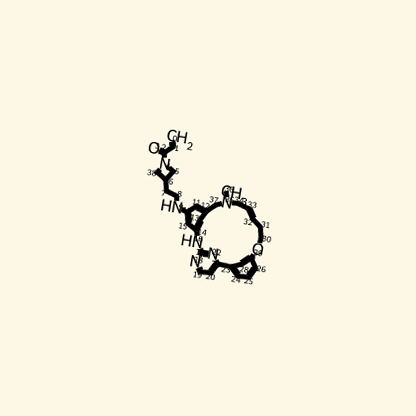 C=CC(=O)N1CC(CCNc2cc3cc(c2)Nc2nccc(n2)-c2cccc(c2)OCC/C=C/CN(C)C3)C1